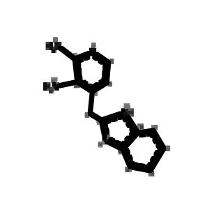 Nc1nccc(Cc2nc3ccccc3[nH]2)c1N